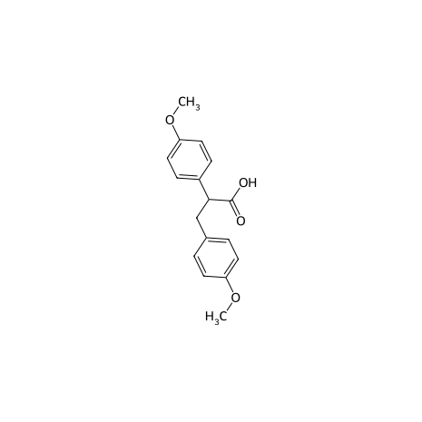 COc1ccc(CC(C(=O)O)c2ccc(OC)cc2)cc1